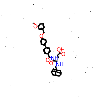 COc1cccc(COc2ccc(-c3ccc(C(=O)NC(=O)[C@H](CCC(=O)O)NCC45CC6CC(CC(C6)C4)C5)cc3)cc2)c1